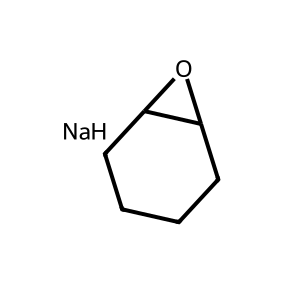 C1CCC2OC2C1.[NaH]